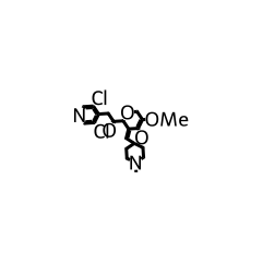 COC1=C2OC3(C=C2C(C(=O)Cc2c(Cl)cncc2Cl)OC1)CCN(C)CC3